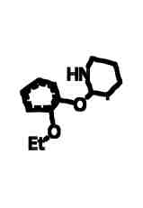 CCOc1ccccc1OC1[CH]CCCN1